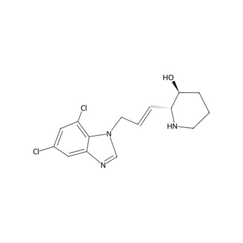 O[C@H]1CCCN[C@@H]1/C=C/Cn1cnc2cc(Cl)cc(Cl)c21